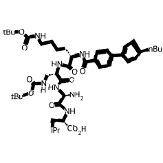 CCCCc1ccc(-c2ccc(C(=O)N[C@@H](CCCCNC(=O)OC(C)(C)C)C(=O)N[C@@H](CNC(=O)OC(C)(C)C)C(=O)N[C@@H](N)C(=O)N[C@@H](CC(C)C)C(=O)O)cc2)cc1